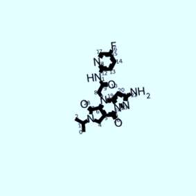 CC(C)N1Cc2c(n(CC(=O)Nc3ccc(F)cn3)c3cc(N)nn3c2=O)C1=O